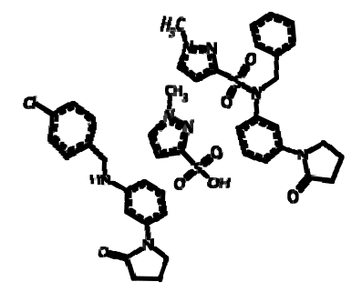 Cn1ccc(S(=O)(=O)N(Cc2ccccc2)c2cccc(N3CCCC3=O)c2)n1.Cn1ccc(S(=O)(=O)O)n1.O=C1CCCN1c1cccc(NCc2ccc(Cl)cc2)c1